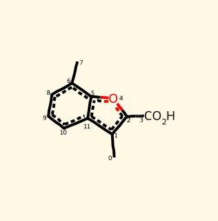 Cc1c(C(=O)O)oc2c(C)cccc12